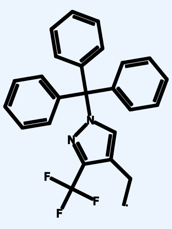 [CH2]Cc1cn(C(c2ccccc2)(c2ccccc2)c2ccccc2)nc1C(F)(F)F